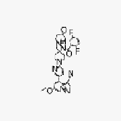 CCOc1cc(-c2ccc(N3CCC(CN4CCC(=O)CC4)(NC(=O)c4cc(F)ccc4F)CC3)nc2)c2c(C#N)cnn2c1